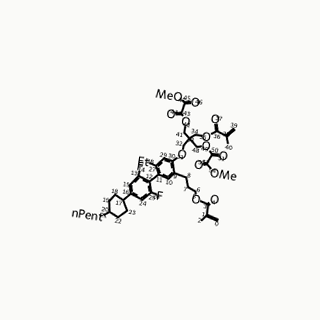 C=C(C)C(=O)OCCCc1cc(-c2c(F)cc(C3CCC(CCCCC)CC3)cc2F)c(CC)cc1OCC(COC(=O)C(=C)C)(COC(=O)C(=O)OC)COC(=O)C(=O)OC